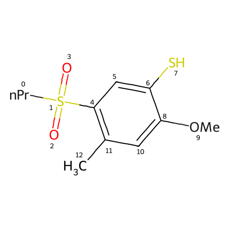 CCCS(=O)(=O)c1cc(S)c(OC)cc1C